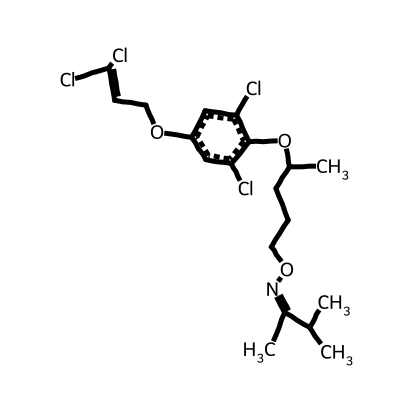 CC(=NOCCCC(C)Oc1c(Cl)cc(OCC=C(Cl)Cl)cc1Cl)C(C)C